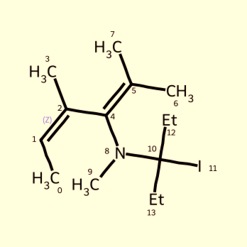 C/C=C(/C)C(=C(C)C)N(C)C(I)(CC)CC